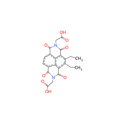 CCc1c(CC)c2c3c(ccc4c3c1C(=O)N(CC(=O)O)C4=O)C(=O)N(CC(=O)O)C2=O